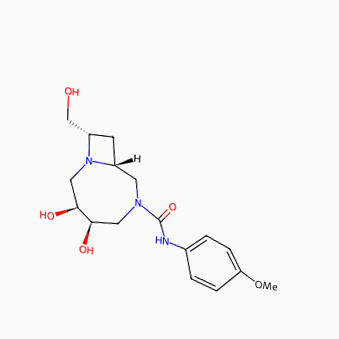 COc1ccc(NC(=O)N2C[C@H]3C[C@@H](CO)N3C[C@H](O)[C@H](O)C2)cc1